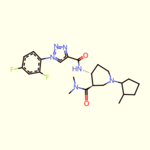 CC1CCCC1N1CC[C@@H](NC(=O)c2cn(-c3ccc(F)cc3F)nn2)[C@H](C(=O)N(C)C)C1